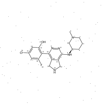 CN1CCC[C@@H](Nc2nnc(-c3c(O)cc(Cl)cc3F)c3c2CNC3)C1